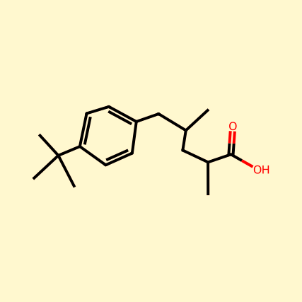 CC(Cc1ccc(C(C)(C)C)cc1)CC(C)C(=O)O